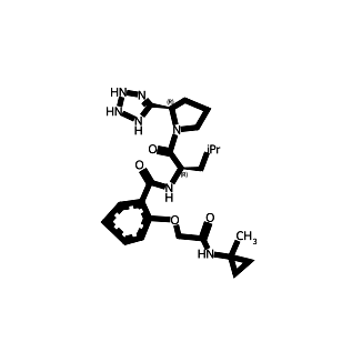 CC(C)C[C@@H](NC(=O)c1ccccc1OCC(=O)NC1(C)CC1)C(=O)N1CCC[C@@H]1C1=NNNN1